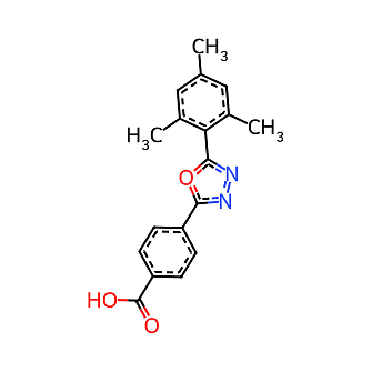 Cc1cc(C)c(-c2nnc(-c3ccc(C(=O)O)cc3)o2)c(C)c1